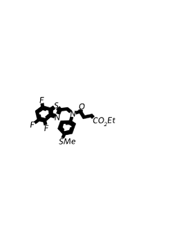 CCOC(=O)CCC(=O)N(Cc1nc2c(F)c(F)cc(F)c2s1)c1ccc(SC)cc1